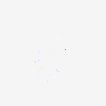 Cc1ccc2[nH]c(=O)c3nc[nH]c3c(=O)[nH]c3nc4ccc(OCCO)cc4n3c2c1